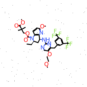 CC[C@@H]1C[C@H](Nc2ncc(OCCOC)c(Cc3cc(C(F)(F)F)cc(C(F)(F)F)c3)n2)c2nc(OC)ccc2N1C(=O)OCC(C)(C)C(=O)OC